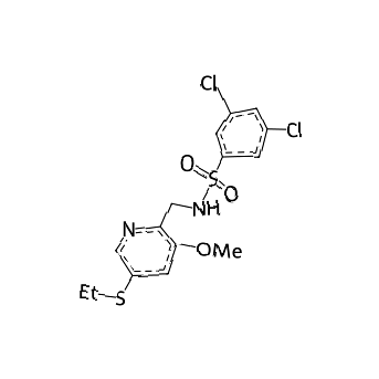 CCSc1cnc(CNS(=O)(=O)c2cc(Cl)cc(Cl)c2)c(OC)c1